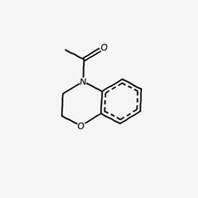 CC(=O)N1CCOc2ccccc21